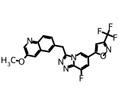 COc1cnc2ccc(Cc3nnc4c(F)cc(-c5cc(C(F)(F)F)no5)cn34)cc2c1